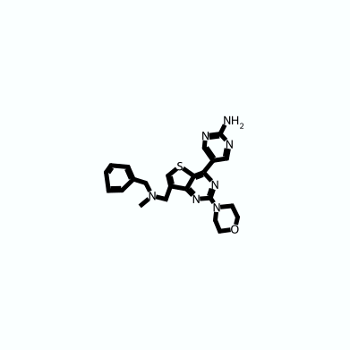 CN(Cc1ccccc1)Cc1csc2c(-c3cnc(N)nc3)nc(N3CCOCC3)nc12